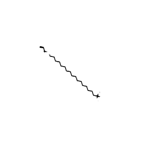 C=CC(=O)OCCCCCCCCCCCCCCCCCC([SiH3])(Br)Br